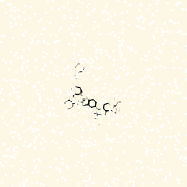 COC(=O)C(C)(C)[C@@H](c1ccc(C)c(CN2CC3(CCOCC3)Oc3nc(OCCN4CCOCC4)ccc3S2(=O)=O)c1)c1ccn2c(C(F)F)nnc2c1C